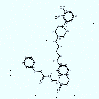 O=C(CCc1ccccc1)OCN1C(=O)CCc2ccc(OCCCCN3CCN(c4cccc(Cl)c4Cl)CC3)cc21